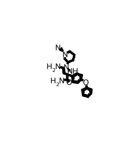 N#CN1CCCC(N2NC(C(N)=O)(c3ccc(Oc4ccccc4)cc3)C=C2N)C1